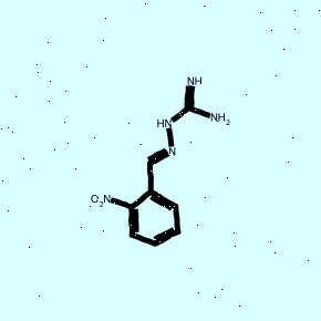 N=C(N)NN=Cc1ccccc1[N+](=O)[O-]